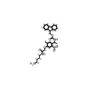 Cc1cc(C(C)NC(=O)OCC2c3ccccc3-c3ccccc32)c([N+](=O)[O-])cc1OCC(=O)NCCCCN